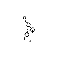 Nc1ccc(Oc2ncccc2C2CCN(CC=O)CC2)cc1